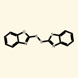 c1ccc2oc(SSc3nc4ccccc4s3)nc2c1